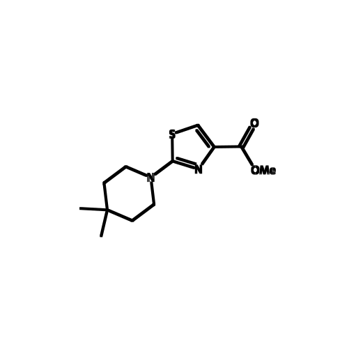 COC(=O)c1csc(N2CCC(C)(C)CC2)n1